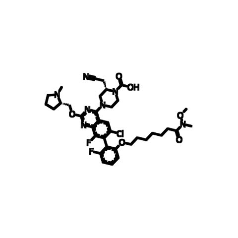 CON(C)C(=O)CCCCCCOc1cccc(F)c1-c1c(Cl)cc2c(N3CCN(C(=O)O)[C@@H](CC#N)C3)nc(OC[C@@H]3CCCN3C)nc2c1F